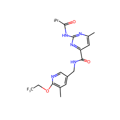 Cc1cc(C(=O)NCc2cnc(OCC(F)(F)F)c(C)c2)nc(NC(=O)C(C)C)n1